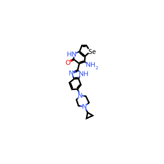 Nc1c(-c2nc3ccc(N4CCN(C5CC5)CC4)cc3[nH]2)c(=O)[nH]c2cc[se]c12